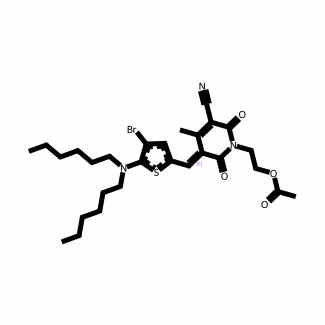 CCCCCCN(CCCCCC)c1sc(/C=C2/C(=O)N(CCOC(C)=O)C(=O)C(C#N)=C2C)cc1Br